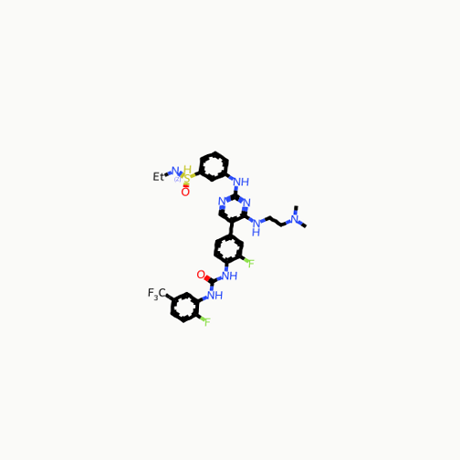 CC/N=[SH](=O)/c1cccc(Nc2ncc(-c3ccc(NC(=O)Nc4cc(C(F)(F)F)ccc4F)c(F)c3)c(NCCN(C)C)n2)c1